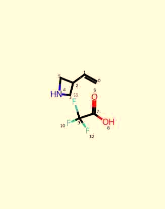 C=CC1CNC1.O=C(O)C(F)(F)F